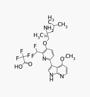 COc1ccnc2[nH]cc(-c3ccc(OC[C@@](C)(N)CC(C)C)c(C(F)F)n3)c12.O=C(O)C(F)(F)F